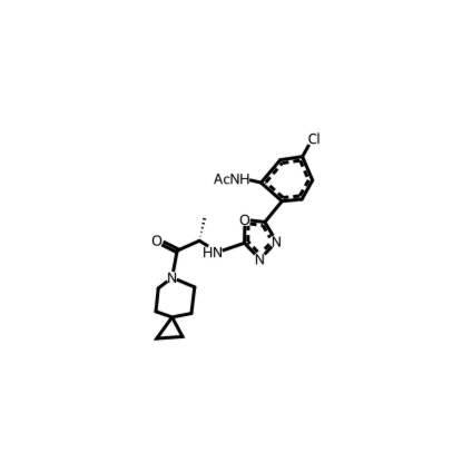 CC(=O)Nc1cc(Cl)ccc1-c1nnc(N[C@@H](C)C(=O)N2CCC3(CC2)CC3)o1